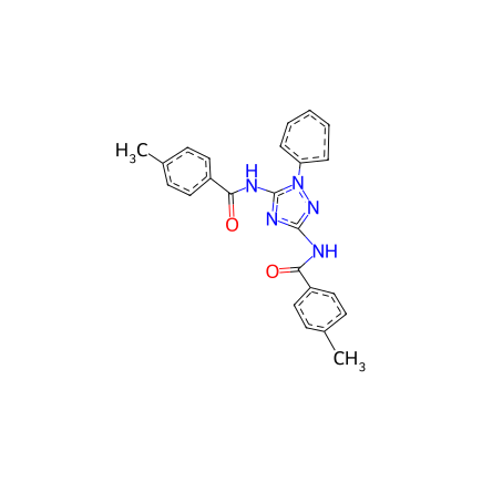 Cc1ccc(C(=O)Nc2nc(NC(=O)c3ccc(C)cc3)n(-c3ccccc3)n2)cc1